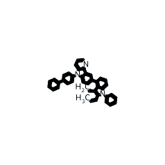 C=Cc1c(/C=C\C)n(-c2ccccc2)c2cccc(-c3ccc4c(c3)c3ncccc3n4-c3ccc(-c4ccccc4)cc3)c12